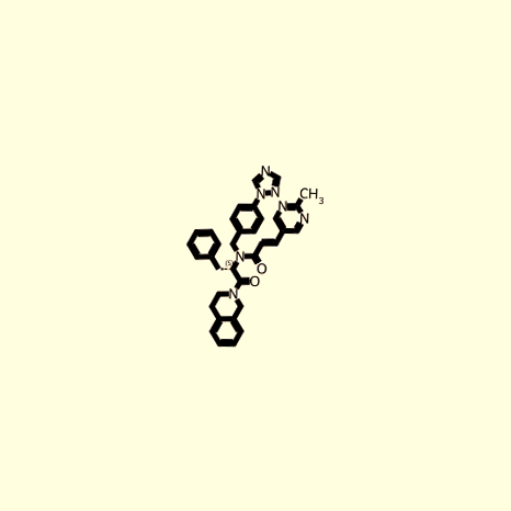 Cc1ncc(C=CC(=O)N(Cc2ccc(-n3cncn3)cc2)[C@@H](Cc2ccccc2)C(=O)N2CCc3ccccc3C2)cn1